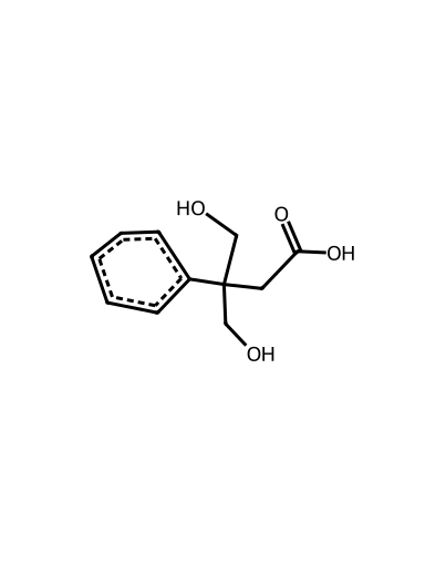 O=C(O)CC(CO)(CO)c1ccccc1